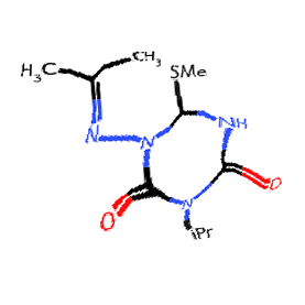 CSC1NC(=O)N(C(C)C)C(=O)N1N=C(C)C